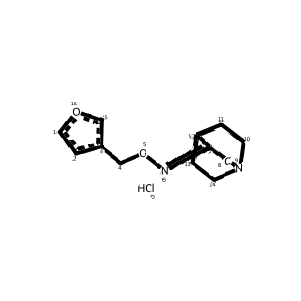 Cl.c1cc(CON=C2CN3CCC2CC3)co1